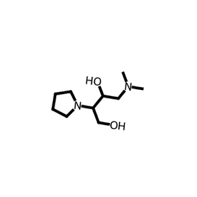 CN(C)CC(O)C(CO)N1CCCC1